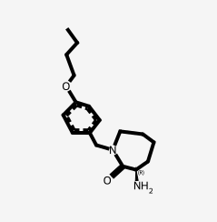 CCCCOc1ccc(CN2CCCC[C@@H](N)C2=O)cc1